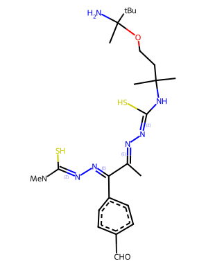 CN/C(S)=N/N=C(/C(C)=N/N=C(\S)NC(C)(C)CCOC(C)(N)C(C)(C)C)c1ccc(C=O)cc1